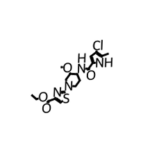 CCOC(=O)c1csc(N2CCC(NC(=O)c3cc(Cl)c(C)[nH]3)C(OC)C2)n1